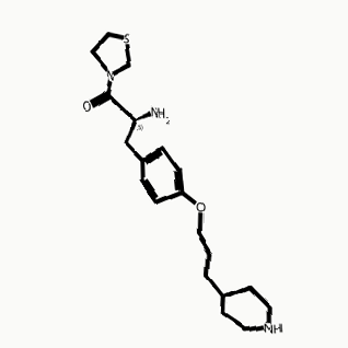 N[C@@H](Cc1ccc(OCCCC2CCNCC2)cc1)C(=O)N1CCSC1